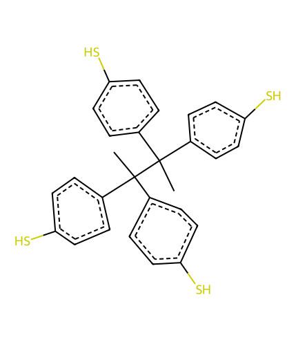 CC(c1ccc(S)cc1)(c1ccc(S)cc1)C(C)(c1ccc(S)cc1)c1ccc(S)cc1